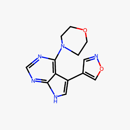 c1nc(N2CCOCC2)c2c(-c3cnoc3)c[nH]c2n1